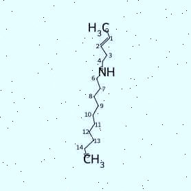 CC=CCCNCCCCCCCCCC